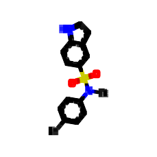 CCc1ccc(N(CC)S(=O)(=O)c2ccc3[nH]ccc3c2)cc1